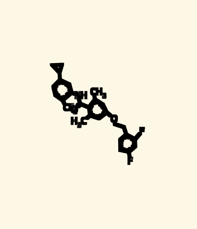 Cc1cc(OCCc2ccc(F)cc2F)cc(C)c1C(=O)Nc1cc(C2CC2)ccc1C(F)(F)F